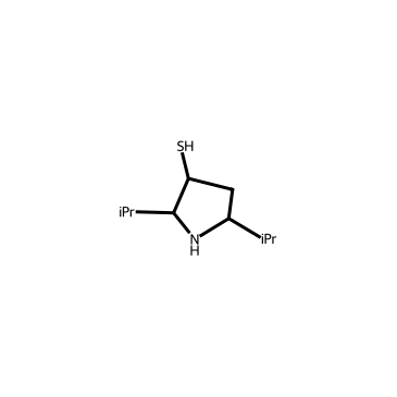 CC(C)C1CC(S)C(C(C)C)N1